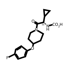 O=C(O)N[C@H](C(=O)N1CCC(Oc2ccc(F)cc2)CC1)C1CC1